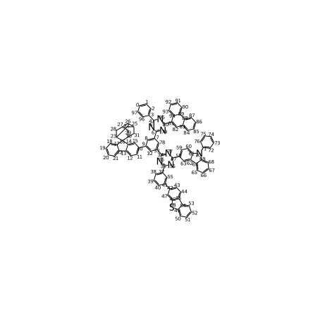 c1ccc(-c2nc(-c3cc(-c4ccc5c(c4)C4(c6ccccc6-5)C5CC6CC(C5)CC4C6)cc(-c4nc(-c5cccc(-c6ccc7c(c6)sc6ccccc67)c5)nc(-c5ccc6c(c5)c5ccccc5n6-c5ccccc5)n4)c3)nc(-c3cc4ccccc4c4ccccc34)n2)cc1